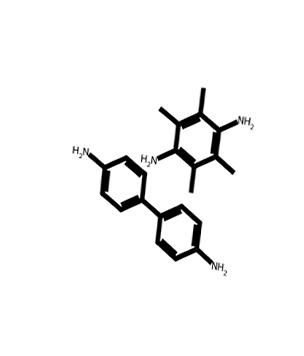 Cc1c(C)c(N)c(C)c(C)c1N.Nc1ccc(-c2ccc(N)cc2)cc1